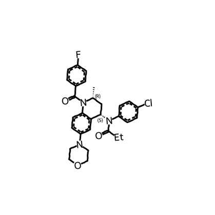 CCC(=O)N(c1ccc(Cl)cc1)[C@H]1C[C@@H](C)N(C(=O)c2ccc(F)cc2)c2ccc(N3CCOCC3)cc21